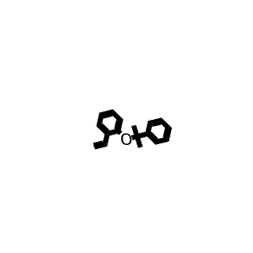 C=Cc1ccccc1OC(C)(C)c1ccccc1